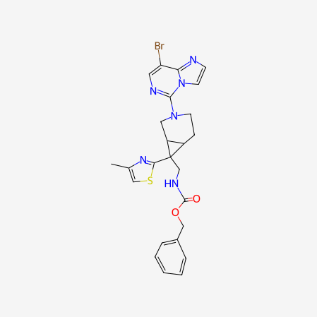 Cc1csc(C2(CNC(=O)OCc3ccccc3)C3CCN(c4ncc(Br)c5nccn45)CC32)n1